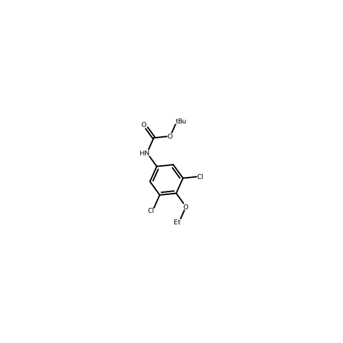 CCOc1c(Cl)cc(NC(=O)OC(C)(C)C)cc1Cl